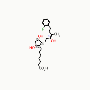 C/C(CCc1ccccc1F)=C(\O)CC[C@@H]1[C@@H](CCCCCCC(=O)O)[C@@H](O)C[C@H]1O